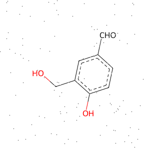 O=Cc1ccc(O)c(CO)c1